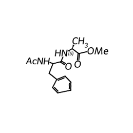 COC(=O)[C@H](C)NC(=O)C(Cc1ccccc1)NC(C)=O